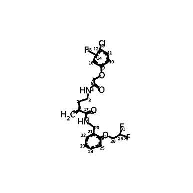 C=C(CCNC(=O)COc1ccc(Cl)c(F)c1)C(=O)NCc1ccccc1OCC(F)F